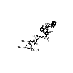 COc1cccc(OC)c1-c1cc(C(O)NC2(C(=O)O)C3CC4CC(C3)CC2C4)nn1-c1ccc(C(=O)N(C)CCCN(C)CCCN(C)C(=O)CCC(C(=O)O)N2CCN(CC(=O)O)CCN(CC(=O)O)CC2)cc1C(C)C